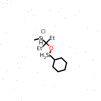 CCC(CC)(O[SiH2]C1CCCCC1)[SiH](C)Cl